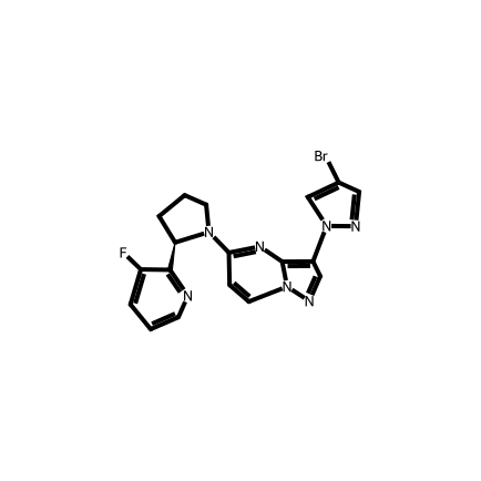 Fc1cccnc1[C@H]1CCCN1c1ccn2ncc(-n3cc(Br)cn3)c2n1